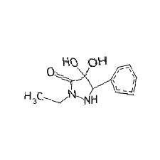 CCN1NC(c2ccccc2)C(O)(O)C1=O